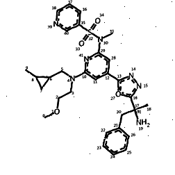 COCCN(CC1CC1C)c1cc(-c2nnc([C@](C)(N)Cc3ccccc3)o2)cc(N(C)S(=O)(=O)c2cccnc2)n1